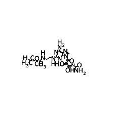 CC(C)(C)OC(=O)NCCNc1nc(N)c2ncn([C@@H]3O[C@H](C(N)=O)[C@@H](O)[C@H]3O)c2n1